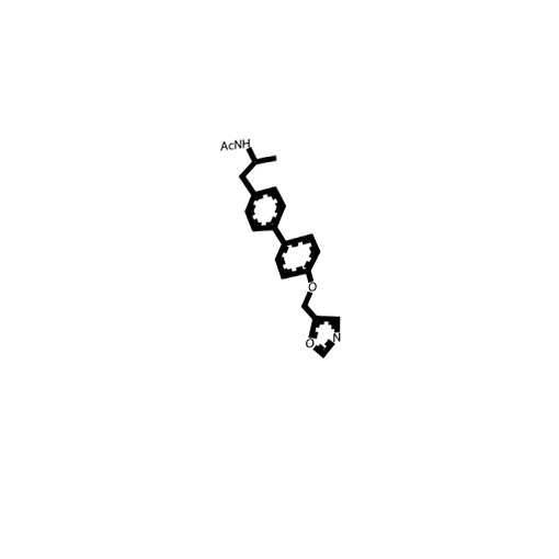 CC(=O)NC(C)Cc1ccc(-c2ccc(OCc3cnco3)cc2)cc1